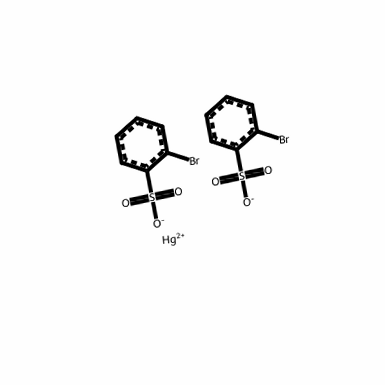 O=S(=O)([O-])c1ccccc1Br.O=S(=O)([O-])c1ccccc1Br.[Hg+2]